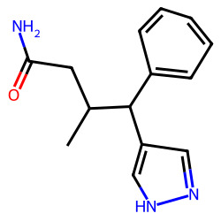 CC(CC(N)=O)C(c1ccccc1)c1cn[nH]c1